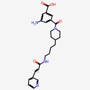 Nc1cc(C(=O)O)cc(C(=O)N2CCC(CCCCNC(=O)/C=C/c3cccnc3)CC2)c1